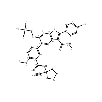 CNC(=O)c1c(-c2ccc(F)cc2)oc2nc(NCC(F)(F)F)c(-c3ccc(OC)c(C(=O)NC4(C#N)CCCC4)c3)cc12